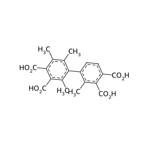 Cc1c(-c2c(C)c(C)c(C(=O)O)c(C(=O)O)c2C)ccc(C(=O)O)c1C(=O)O